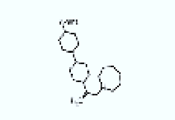 C=C(CN1CCCCCC1)C1CCC(C2CCC(CCCCC)CC2)CC1